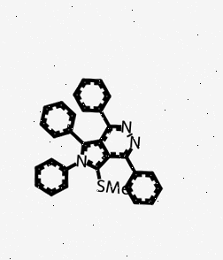 CSc1c2c(-c3ccccc3)nnc(-c3ccccc3)c2c(-c2ccccc2)n1-c1ccccc1